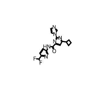 O=C(Nc1ccc(C(F)F)nc1)c1cc(C2CCC2)nc(-n2ccnc2)n1